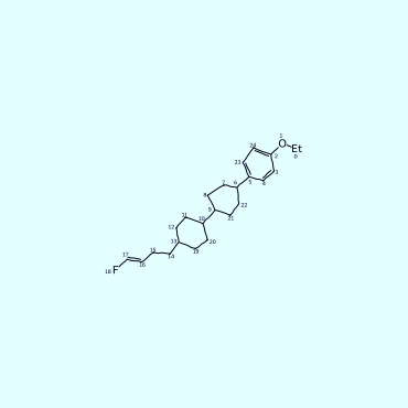 CCOc1ccc(C2CCC(C3CCC(CCC=CF)CC3)CC2)cc1